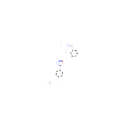 COc1ccc(-c2nnc(COc3ccc(F)c(C(N)=O)c3F)o2)cc1